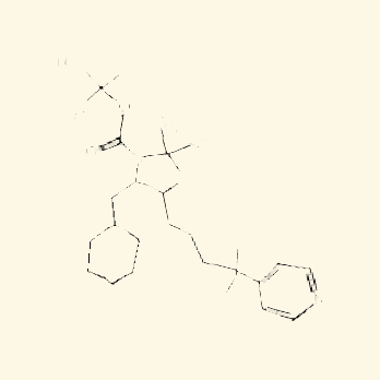 CC(C)(C)OC(=O)N1C(CC2CCCCC2)C(CCCC(F)(F)c2ccncc2)OC1(C)C